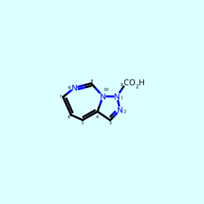 O=C(O)N1N=CC2=CC=CN=CN21